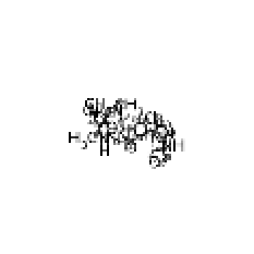 COc1cccc(C(C)NC(=O)CN2C(=O)c3cc(-c4nc(NC5CCOCC5)ncc4Cl)ccc3C2CCN(C)C)c1